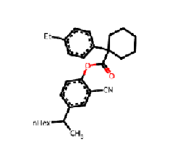 CCCCCCC(C)c1ccc(OC(=O)C2(c3ccc(CC)cc3)CCCCC2)c(C#N)c1